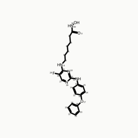 O=C(CCCCCCNc1nc(Nc2ccc(Oc3ccccc3)cc2)ncc1F)NO